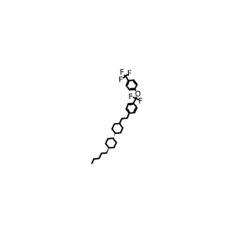 CCCCC[C@H]1CC[C@H](C2CCC(CCc3ccc(C(F)(F)Oc4ccc(C(F)(F)F)cc4)cc3)CC2)CC1